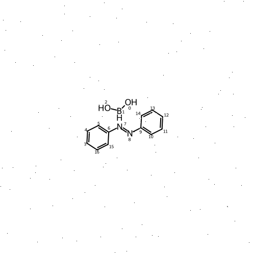 OBO.c1ccc(/N=N/c2ccccc2)cc1